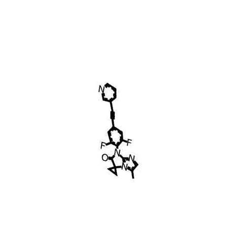 Cc1cnc2n1C1(CC1)C(=O)N2c1c(F)cc(C#Cc2cccnc2)cc1F